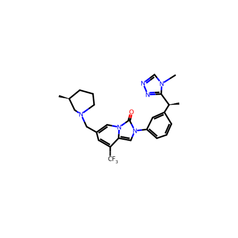 C[C@H]1CCCN(Cc2cc(C(F)(F)F)c3cn(-c4cccc([C@H](C)c5nncn5C)c4)c(=O)n3c2)C1